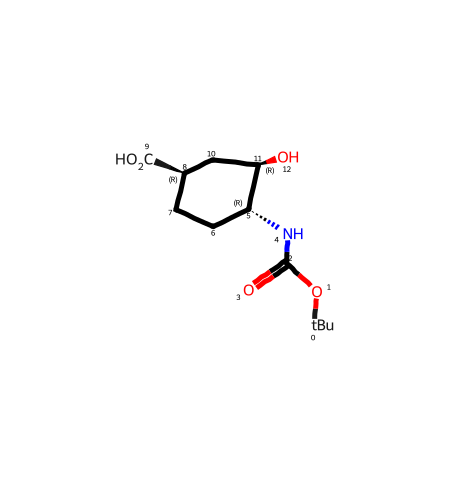 CC(C)(C)OC(=O)N[C@@H]1CC[C@@H](C(=O)O)C[C@H]1O